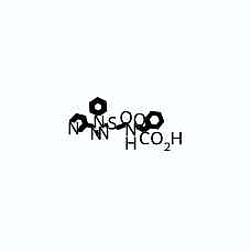 O=C(CSc1nnc(-c2cccnc2)n1-c1ccccc1)Nc1oc2c(c1C(=O)O)CCCC2